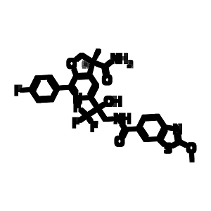 COc1nc2ccc(C(=O)NCC(O)(c3cc4c(c(-c5ccc(F)cc5)n3)OC[C@]4(C)C(N)=O)C(F)(F)F)cc2s1